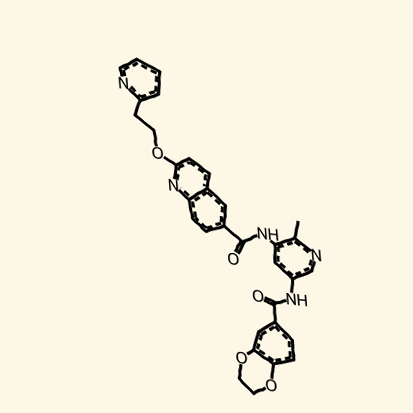 Cc1ncc(NC(=O)c2ccc3c(c2)OCCO3)cc1NC(=O)c1ccc2nc(OCCc3ccccn3)ccc2c1